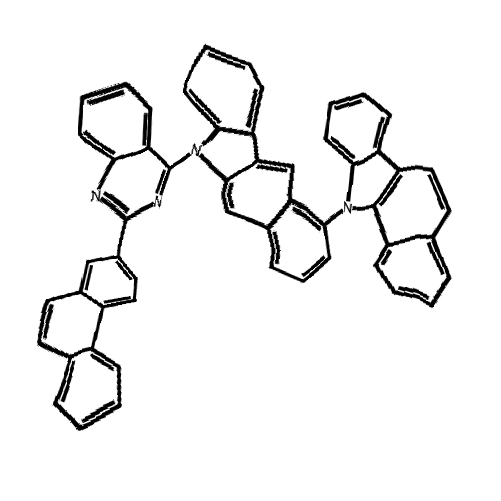 c1cc(-n2c3ccccc3c3ccc4ccccc4c32)c2cc3c4ccccc4n(-c4nc(-c5ccc6c(ccc7ccccc76)c5)nc5ccccc45)c3cc2c1